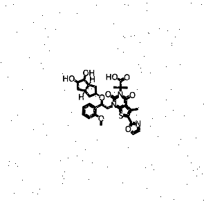 COc1ccccc1C(Cn1c(=O)n(C(C)(C)C(=O)O)c(=O)c2c(C)c(-c3ncco3)sc21)O[C@H]1C[C@H]2CC(O)C(O)[C@H]2C1